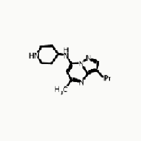 Cc1cc(NC2CCNCC2)n2ncc(C(C)C)c2n1